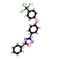 FC(F)(F)c1ccc(Oc2ccc(-c3noc(-c4ccccc4)n3)cc2)cc1